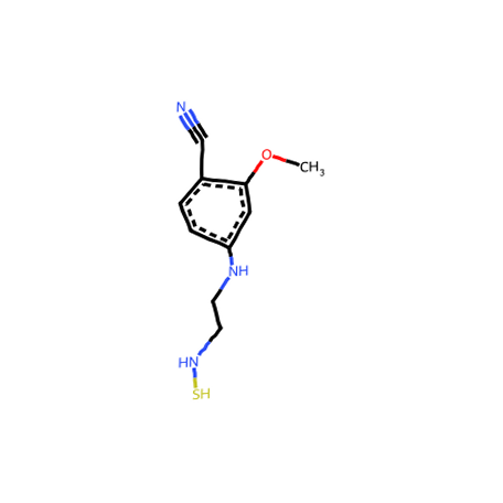 COc1cc(NCCNS)ccc1C#N